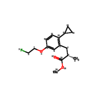 C[C@@H](Cc1cc(OCCF)ccc1C1CC1)C(=O)OC(C)(C)C